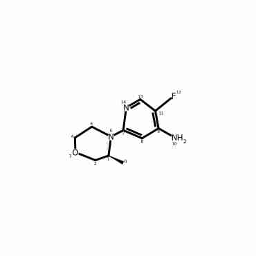 C[C@H]1COCCN1c1cc(N)c(F)cn1